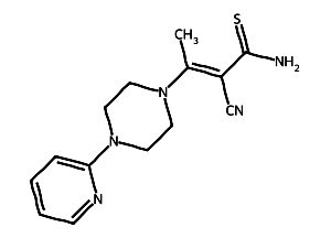 C/C(=C(/C#N)C(N)=S)N1CCN(c2ccccn2)CC1